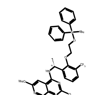 COc1cc2c(N[C@H](C)c3cccc(C(F)(F)F)c3OCCO[Si](c3ccccc3)(c3ccccc3)C(C)(C)C)nc(Cl)nc2cn1